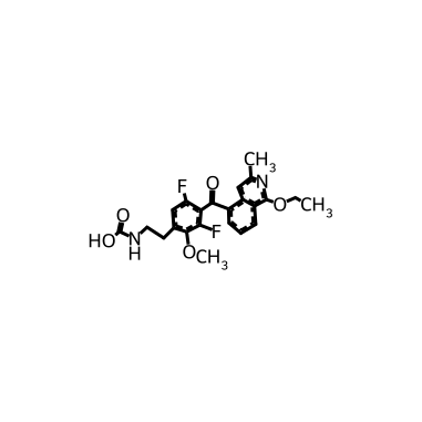 CCOc1nc(C)cc2c(C(=O)c3c(F)cc(CCNC(=O)O)c(OC)c3F)cccc12